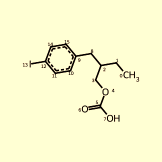 CCC(COC(=O)O)Cc1ccc(I)cc1